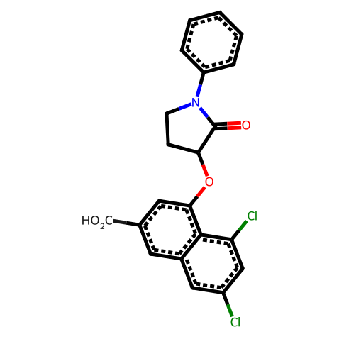 O=C(O)c1cc(OC2CCN(c3ccccc3)C2=O)c2c(Cl)cc(Cl)cc2c1